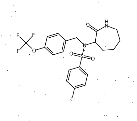 O=C1NCCCCC1N(Cc1ccc(OC(F)(F)F)cc1)S(=O)(=O)c1ccc(Cl)cc1